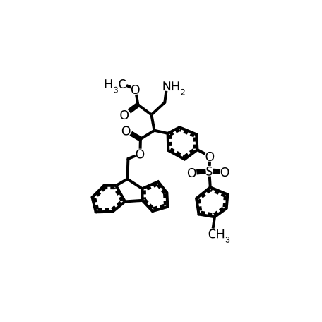 COC(=O)C(CN)C(C(=O)OCC1c2ccccc2-c2ccccc21)c1ccc(OS(=O)(=O)c2ccc(C)cc2)cc1